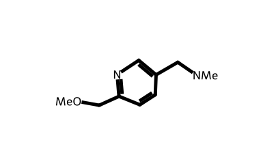 CNCc1ccc(COC)nc1